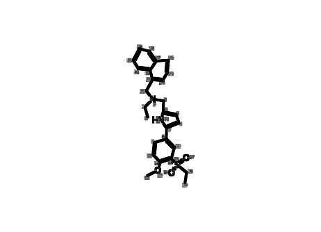 CCN(Cc1ccc(-c2ccc(OC)c(S(=O)(=O)CC)c2)[nH]1)Cc1cccc2ccccc12